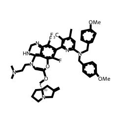 C=C1CN2CCC[C@@]2(COC2=CN(CCN(C)C)C3=c4c(c(F)c(-c5nc(N(Cc6ccc(OC)cc6)Cc6ccc(OC)cc6)cc(C)c5C(F)(F)F)c(F)c4=NCN3)O2)C1